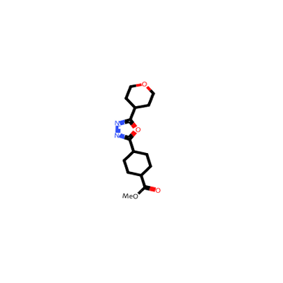 COC(=O)C1CCC(c2nnc(C3CCOCC3)o2)CC1